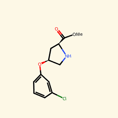 COC(=O)[C@@H]1C[C@H](Oc2cccc(Cl)c2)CN1